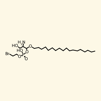 CCCCCCCCCCCCCCCCCCOC(OP(=O)(O)OCCBr)C(N)CO